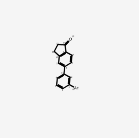 CC(=O)c1cccc(-c2ccc3c(c2)CCC3=O)c1